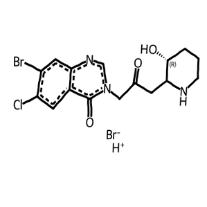 O=C(CC1NCCC[C@H]1O)Cn1cnc2cc(Br)c(Cl)cc2c1=O.[Br-].[H+]